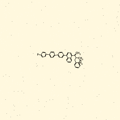 C=C(c1ccc(-c2ccc(-c3ccc(-c4ccc(F)cc4)cc3)cc2)c2ccccc12)C(C)Cc1ccccc1N